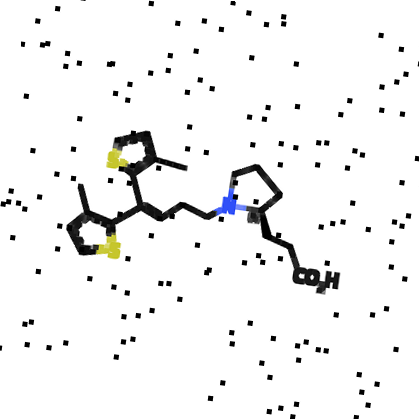 Cc1ccsc1C(=CCCN1CCC[C@H]1CCC(=O)O)c1sccc1C